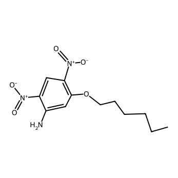 CCCCCCOc1cc(N)c([N+](=O)[O-])cc1[N+](=O)[O-]